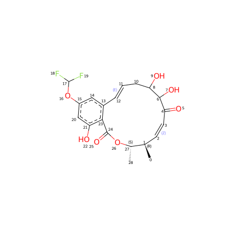 C[C@@H]1/C=C\C(=O)C(O)C(O)C/C=C/c2cc(OC(F)F)cc(O)c2C(=O)O[C@H]1C